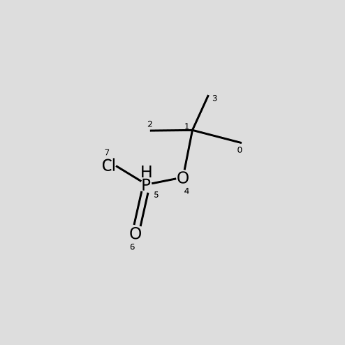 CC(C)(C)O[PH](=O)Cl